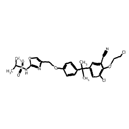 CC(C)S(=O)(=O)Nc1nc(COc2ccc(C(C)(C)c3cc(Cl)c(OCCCl)c(C#N)c3)cc2)co1